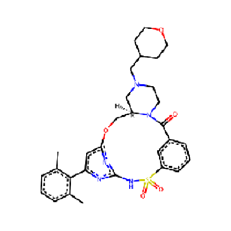 Cc1cccc(C)c1-c1cc2nc(n1)NS(=O)(=O)c1cccc(c1)C(=O)N1CCN(CC3CCOCC3)C[C@@H]1CO2